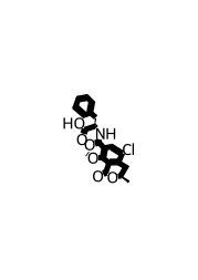 COc1c(C(=O)N[C@@H](Cc2ccccc2)C(=O)O)cc(Cl)c2c1C(=O)O[C@H](C)C2